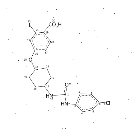 O=C(Nc1ccc(Cl)cc1)NC1CCC(Oc2ccc(C(=O)O)c(I)c2)CC1